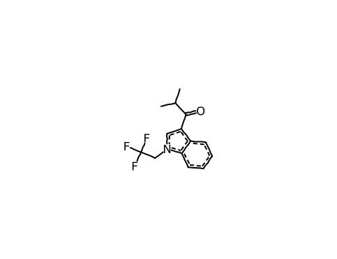 CC(C)C(=O)c1cn(CC(F)(F)F)c2ccccc12